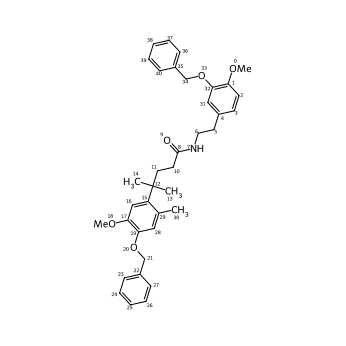 COc1ccc(CCNC(=O)CCC(C)(C)c2cc(OC)c(OCc3ccccc3)cc2C)cc1OCc1ccccc1